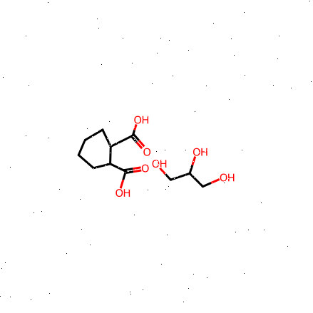 O=C(O)C1CCCCC1C(=O)O.OCC(O)CO